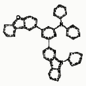 c1ccc(N(c2ccccc2)c2cc(-c3ccc4oc5ccccc5c4c3)cc(-c3ccc4c5ccccc5n(-c5ccccc5)c4c3)c2)cc1